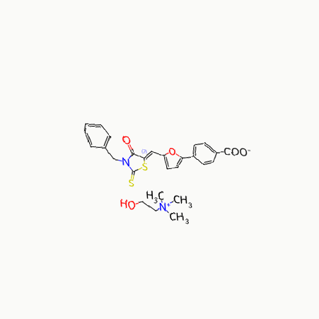 C[N+](C)(C)CCO.O=C([O-])c1ccc(-c2ccc(/C=C3\SC(=S)N(Cc4ccccc4)C3=O)o2)cc1